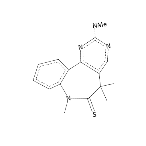 CNc1ncc2c(n1)-c1ccccc1N(C)C(=S)C2(C)C